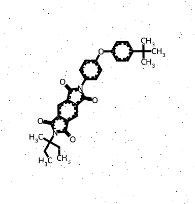 CCC(C)(CC)n1c(=O)c2cc3c(=O)n(-c4ccc(Oc5ccc(C(C)(C)C)cc5)cc4)c(=O)c3cc2c1=O